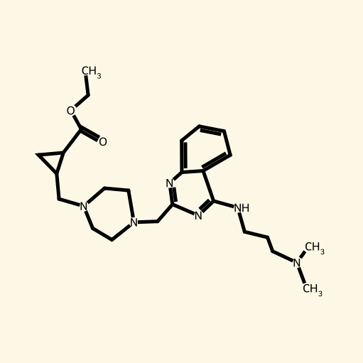 CCOC(=O)C1CC1CN1CCN(Cc2nc(NCCCN(C)C)c3ccccc3n2)CC1